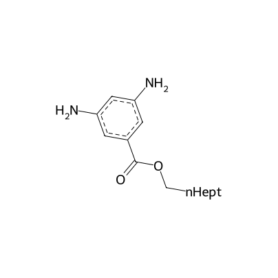 CCCCCCCCOC(=O)c1cc(N)cc(N)c1